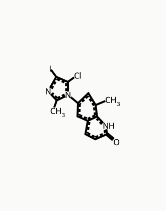 Cc1cc(-n2c(C)nc(I)c2Cl)cc2ccc(=O)[nH]c12